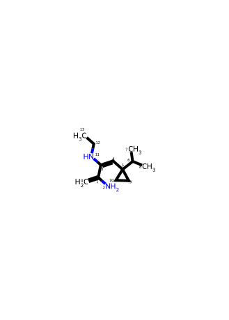 C=C(N)/C(=C\C1(C(C)C)CC1)NCC